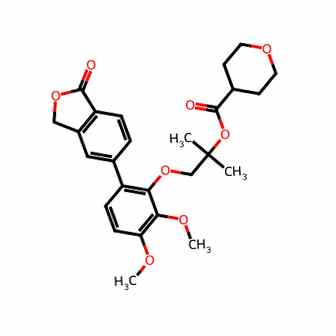 COc1ccc(-c2ccc3c(c2)COC3=O)c(OCC(C)(C)OC(=O)C2CCOCC2)c1OC